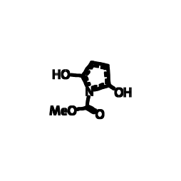 COC(=O)n1c(O)ccc1O